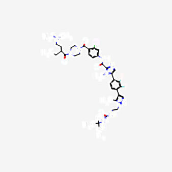 CCC(CCN(C)C)C(=O)N1CCN(C(=O)c2ccc(NC(=O)c3ncc(-c4ccc(-c5cnn(CCNC(=O)NC(C)(C)C)c5C)c(F)c4F)n3C)cc2Cl)CC1